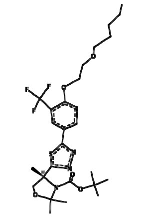 CCCCCOCCOc1ccc(-c2nnc([C@@]3(C)COC(C)(C)N3C(=O)OC(C)(C)C)s2)cc1C(F)(F)F